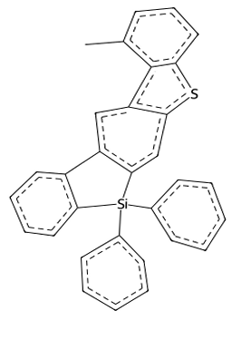 Cc1cccc2sc3cc4c(cc3c12)-c1ccccc1[Si]4(c1ccccc1)c1ccccc1